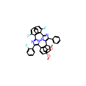 COc1ccc(-c2c(-c3ccccc3F)nc(-c3ccccc3F)n2-n2c(-c3ccccc3F)nc(-c3ccccc3)c2-c2ccccc2)cc1OC